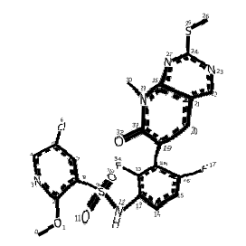 COc1ncc(Cl)cc1S(=O)(=O)Nc1ccc(F)c(-c2cc3cnc(SC)nc3n(C)c2=O)c1F